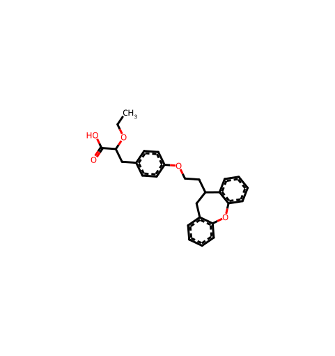 CCOC(Cc1ccc(OCCC2Cc3ccccc3Oc3ccccc32)cc1)C(=O)O